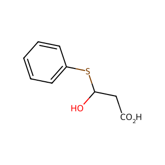 O=C(O)CC(O)Sc1ccccc1